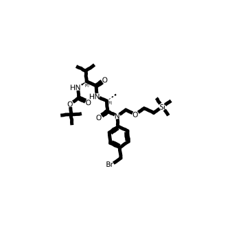 CC(C)[C@@H](NC(=O)OC(C)(C)C)C(=O)N[C@H](C)C(=O)N(COCC[Si](C)(C)C)c1ccc(CBr)cc1